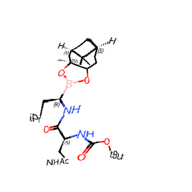 CC(=O)NC[C@H](NC(=O)OC(C)(C)C)C(=O)N[C@@H](CC(C)C)B1OC2C[C@@H]3C[C@@H](C3(C)C)[C@]2(C)O1